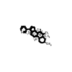 C[C@H]1CC[C@]2(C)[C@@]3(C)CC[C@]4(C)C(c5cccnc5)=CC[C@@]4(C)[C@@H]3C=C(C#N)[C@@]2(C)C1